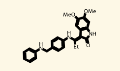 CCC(Nc1ccc(CNc2ccccc2)cc1)=C1C(=O)Nc2cc(OC)c(OC)cc21